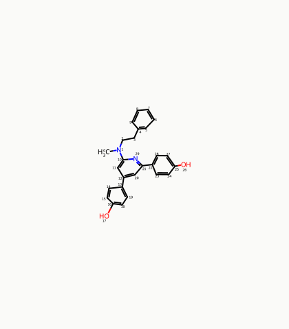 CN(CCc1ccccc1)c1cc(-c2ccc(O)cc2)cc(-c2ccc(O)cc2)n1